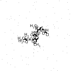 COCC1=C(C(=O)OCOC(=O)C(C)(C)C)N2C(=O)C(NC(=O)C(=NOC)c3csc(NC(=O)CCl)n3)[C@@H]2SC1